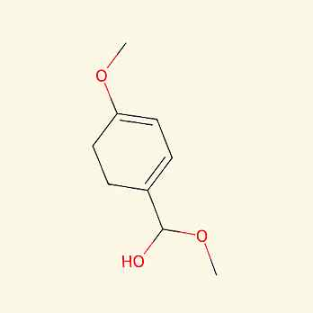 COC1=CC=C(C(O)OC)CC1